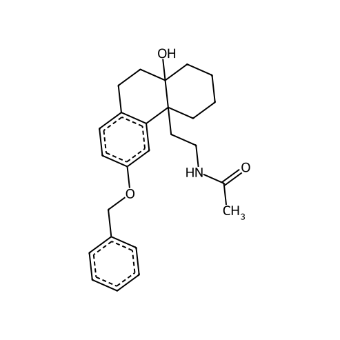 CC(=O)NCCC12CCCCC1(O)CCc1ccc(OCc3ccccc3)cc12